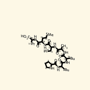 CCC(C)C(NC(=O)C1CCCN1)C(=O)NC(C(=O)NC(C)C(=O)NC(CC(C)C)C(=O)NC(CCSC)C(=O)NC(C(=O)O)C(C)C)C(C)CC